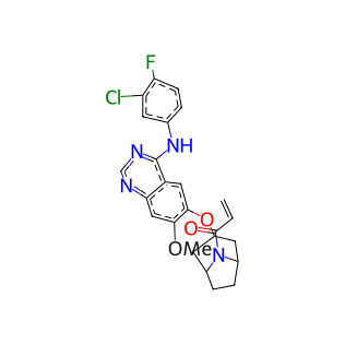 C=CC(=O)N1C2CCC1CC(Oc1cc3c(Nc4ccc(F)c(Cl)c4)ncnc3cc1OC)C2